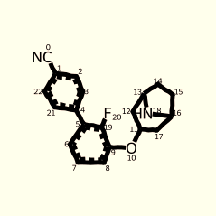 N#Cc1ccc(-c2cccc(OC3CC4CCC(C3)N4)c2F)cc1